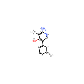 Cc1c(N)ncc(-c2cccc(C(F)(F)F)c2)c1O